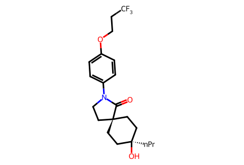 CCC[C@]1(O)CC[C@]2(CCN(c3ccc(OCCC(F)(F)F)cc3)C2=O)CC1